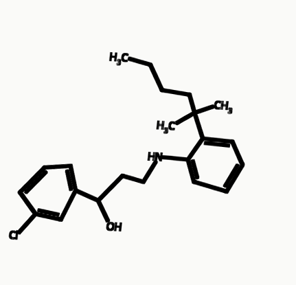 CCCCC(C)(C)c1ccccc1NCCC(O)c1cccc(Cl)c1